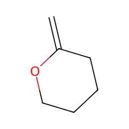 C=C1CCCCO1